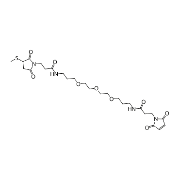 CSC1CC(=O)N(CCC(=O)NCCCOCCOCCOCCCNC(=O)CCN2C(=O)C=CC2=O)C1=O